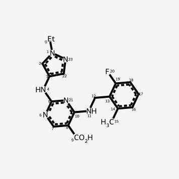 CCn1cc(Nc2ncc(C(=O)O)c(NCc3c(C)cccc3F)n2)cn1